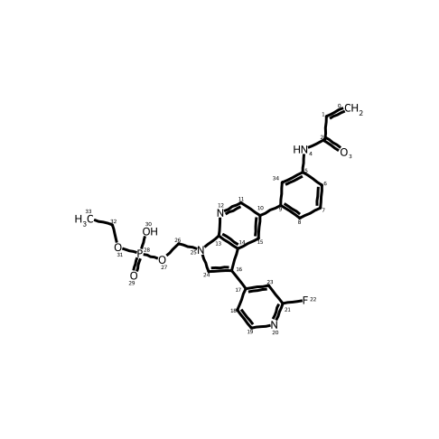 C=CC(=O)Nc1cccc(-c2cnc3c(c2)c(-c2ccnc(F)c2)cn3COP(=O)(O)OCC)c1